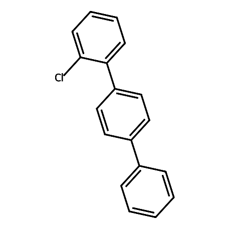 Clc1ccccc1-c1ccc(-c2ccccc2)cc1